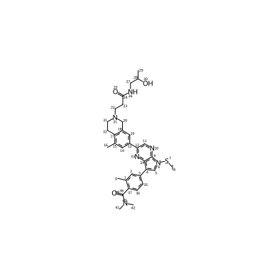 Cc1cc(-c2cn(SI)c3ncc(-c4cc(C)c5c(c4)CN(CCC(=O)NCC(C)O)CC5)nc23)ccc1C(=O)N(C)C